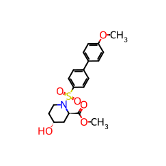 COC(=O)[C@H]1C[C@H](O)CCN1S(=O)(=O)c1ccc(-c2ccc(OC)cc2)cc1